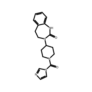 O=C1Nc2ccccc2CCN1C1CCN(C(=O)n2ccnc2)CC1